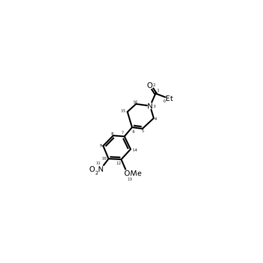 CCC(=O)N1CC=C(c2ccc([N+](=O)[O-])c(OC)c2)CC1